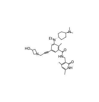 CCN(c1cc(C#CCN2CC(O)C2)cc(C(=O)NCc2c(C)cc(C)[nH]c2=O)c1C)[C@H]1CC[C@H](N(C)C)CC1